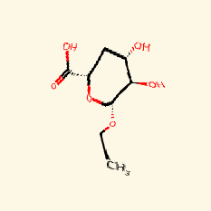 CCO[C@@H]1O[C@H](C(=O)O)C[C@H](O)[C@H]1O